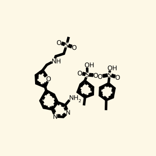 CS(=O)(=O)CCNCc1ccc(-c2ccc3ncnc(N)c3c2)o1.Cc1ccc(S(=O)(=O)O)cc1.Cc1ccc(S(=O)(=O)O)cc1